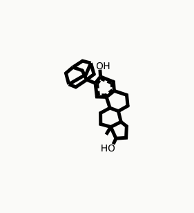 CC12CCC3c4cc(C56CC7CC(CC(C7)C5)C6)c(O)cc4CCC3C1CCC2O